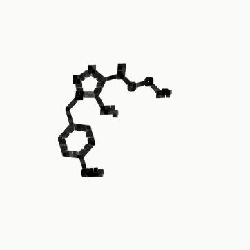 CCCOONc1nnn(Cc2ccc(OC)cc2)c1N